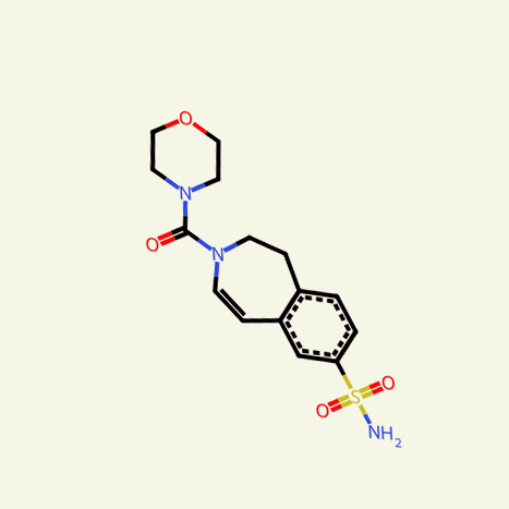 NS(=O)(=O)c1ccc2c(c1)C=CN(C(=O)N1CCOCC1)CC2